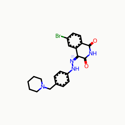 O=C1NC(=O)c2ccc(Br)cc2/C1=N/Nc1ccc(CN2CCCCC2)cc1